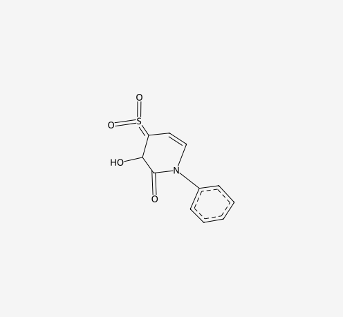 O=C1C(O)C(=S(=O)=O)C=CN1c1ccccc1